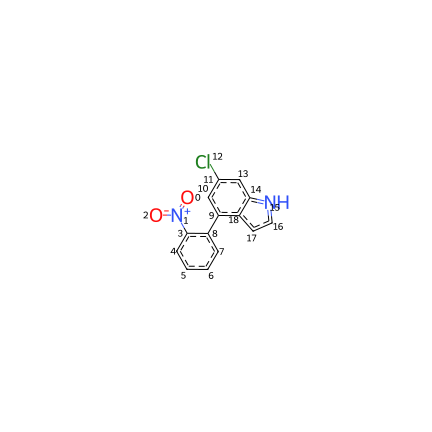 O=[N+]([O-])c1ccccc1-c1cc(Cl)cc2[nH]ccc12